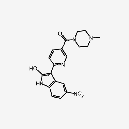 CN1CCN(C(=O)c2ccc(-c3c(O)[nH]c4ccc([N+](=O)[O-])cc34)nc2)CC1